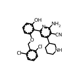 N#Cc1c(C2CCCNC2)cc(-c2c(O)cccc2OCc2c(Cl)cccc2Cl)nc1N